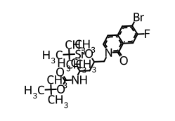 CC(CC(Cn1ccc2cc(Br)c(F)cc2c1=O)O[Si](C)(C)C(C)(C)C)NC(=O)OC(C)(C)C